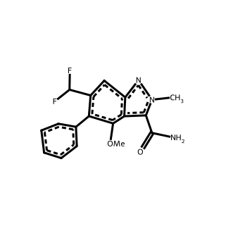 COc1c(-c2ccccc2)c(C(F)F)cc2nn(C)c(C(N)=O)c12